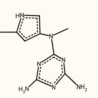 Cc1cc(N(C)c2nc(N)nc(N)n2)c[nH]1